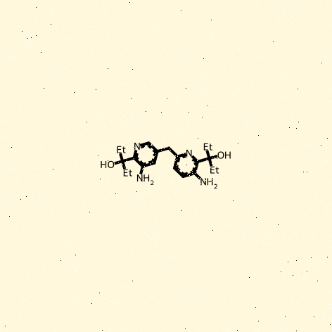 CCC(O)(CC)c1ncc(Cc2ccc(N)c(C(O)(CC)CC)n2)cc1N